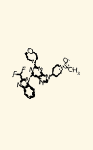 C[S+]([O-])N1CCC(n2cnc3c(-n4c(C(F)F)nc5ccccc54)nc(N4CCOCC4)nc32)CC1